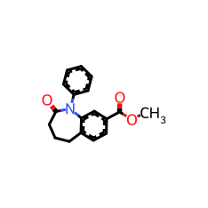 COC(=O)c1ccc2c(c1)N(c1ccccc1)C(=O)CCC2